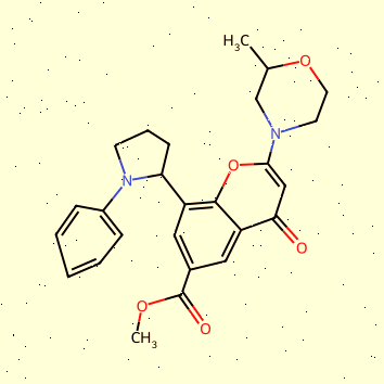 COC(=O)c1cc(C2CCCN2c2ccccc2)c2oc(N3CCOC(C)C3)cc(=O)c2c1